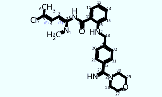 C=N/C(=C\C=C(/C)Cl)NC(=O)c1ccccc1NCc1ccc(C(=N)N2CCOCC2)cc1